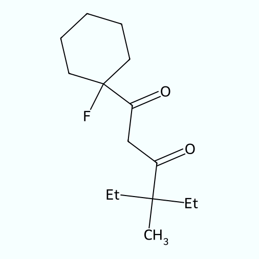 CCC(C)(CC)C(=O)CC(=O)C1(F)CCCCC1